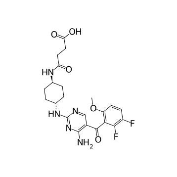 COc1ccc(F)c(F)c1C(=O)c1cnc(N[C@H]2CC[C@H](NC(=O)CCC(=O)O)CC2)nc1N